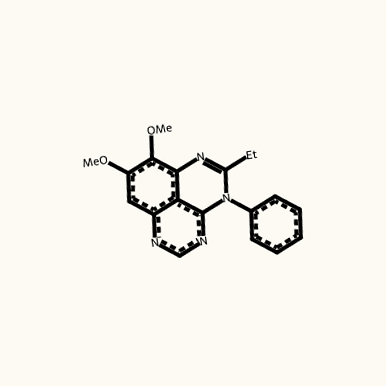 CCC1=Nc2c(OC)c(OC)cc3ncnc(c23)N1c1ccccc1